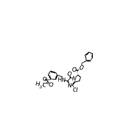 CS(=O)(=O)c1cccc(CNc2nc(Cl)c3n(c2=O)[C@H](C(=O)OCc2ccccc2)CC3)c1